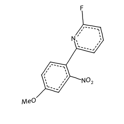 COc1ccc(-c2cccc(F)n2)c([N+](=O)[O-])c1